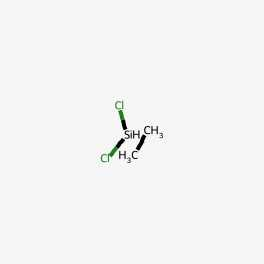 CC.Cl[SiH2]Cl